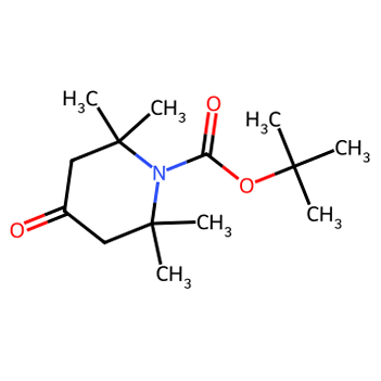 CC(C)(C)OC(=O)N1C(C)(C)CC(=O)CC1(C)C